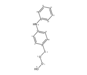 OOOSc1ccc(Nc2ccccc2)cc1